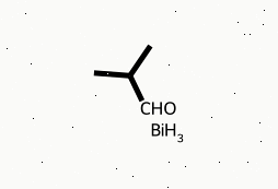 CC(C)C=O.[BiH3]